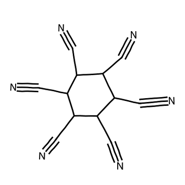 N#CC1C(C#N)C(C#N)C(C#N)C(C#N)C1C#N